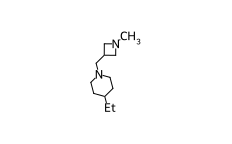 CCC1CCN(CC2CN(C)C2)CC1